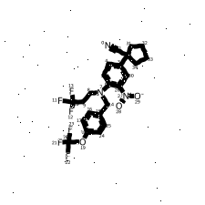 N#CC1(c2ccc(N(CCC(F)(F)F)Cc3ccc(OC(F)(F)F)cc3)c([N+](=O)[O-])c2)CCCC1